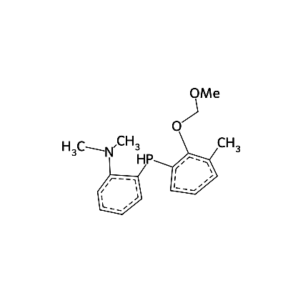 COCOc1c(C)cccc1Pc1ccccc1N(C)C